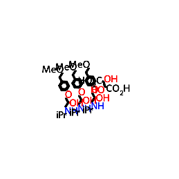 COCCc1ccc(OCC(O)CNC(C)C)cc1.COCCc1ccc(OCC(O)CNC(C)C)cc1.COCCc1ccc(OCC(O)CNC(C)C)cc1.O=C(O)C(O)C(O)C(=O)O